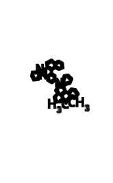 CC1(C)c2ccccc2-c2c3c1cccc3cc1c2c2ccccc2n1-c1ccc2c(c1)c1c3ccccc3ccc1c1nc3ccccc3n21